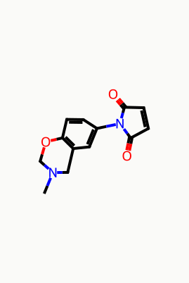 CN1COc2ccc(N3C(=O)C=CC3=O)cc2C1